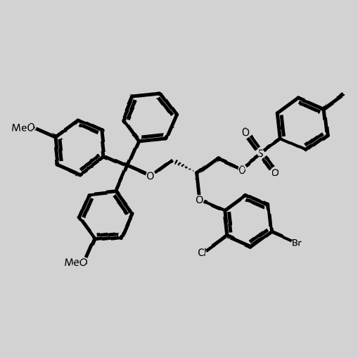 COc1ccc(C(OC[C@H](COS(=O)(=O)c2ccc(C)cc2)Oc2ccc(Br)cc2Cl)(c2ccccc2)c2ccc(OC)cc2)cc1